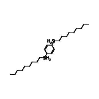 CCCCCCCCC[SiH2]C1C=CC([SiH2]CCCCCCCCC)C=C1